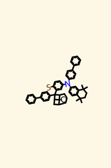 CC1(C)CCC(C)(C)c2cc(N(c3ccc(-c4ccccc4)cc3)c3ccc4c(c3)C3(c5ccc(-c6ccccc6)cc5S4)C4CC5CC6CC3C64C5)ccc21